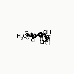 CS(=O)(=O)NCc1ncc(-c2ccc([C@H](O)[C@@H](CF)NC(=O)C(Cl)Cl)cc2)cc1Cl